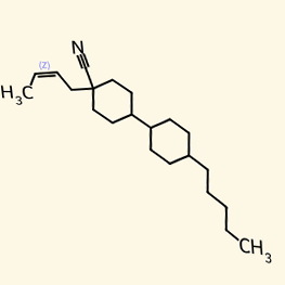 C/C=C\CC1(C#N)CCC(C2CCC(CCCCC)CC2)CC1